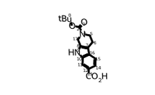 CC(C)(C)OC(=O)N1CCc2c([nH]c3cc(C(=O)O)ccc23)C1